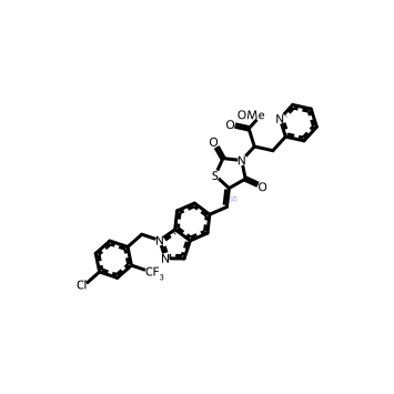 COC(=O)C(Cc1ccccn1)N1C(=O)S/C(=C\c2ccc3c(cnn3Cc3ccc(Cl)cc3C(F)(F)F)c2)C1=O